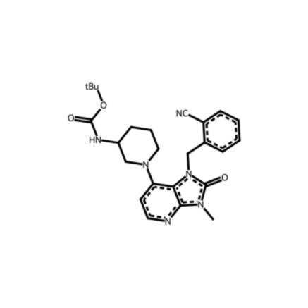 Cn1c(=O)n(Cc2ccccc2C#N)c2c(N3CCCC(NC(=O)OC(C)(C)C)C3)ccnc21